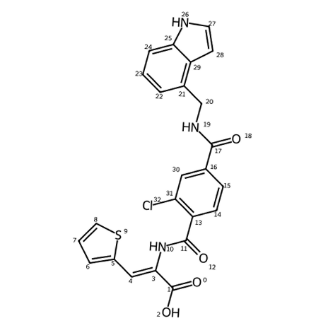 O=C(O)/C(=C/c1cccs1)NC(=O)c1ccc(C(=O)NCc2cccc3[nH]ccc23)cc1Cl